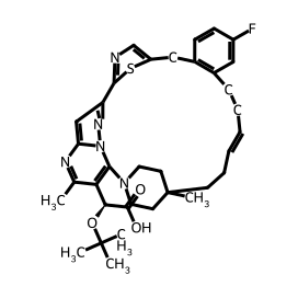 Cc1nc2cc3nn2c(c1[C@H](OC(C)(C)C)C(=O)O)N1CCC(C)(CC/C=C/CCc2cc(F)ccc2Cc2cnc-3s2)CC1